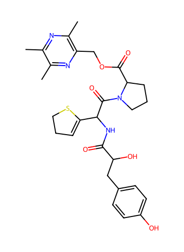 Cc1nc(C)c(COC(=O)C2CCCN2C(=O)C(NC(=O)C(O)Cc2ccc(O)cc2)C2=CCCS2)nc1C